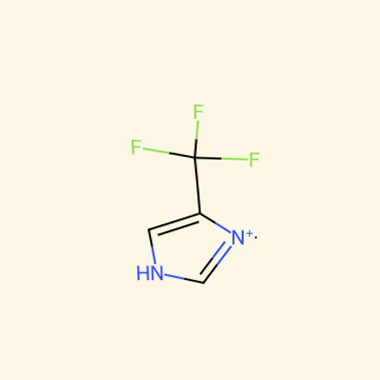 FC(F)(F)C1=CNC=[N+]1